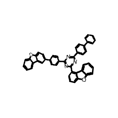 c1ccc(-c2ccc(-c3nc(-c4ccc(-c5ccc6oc7ccccc7c6c5)cc4)nc(-c4cccc5oc6ccccc6c45)n3)cc2)cc1